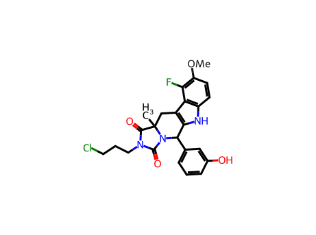 COc1ccc2[nH]c3c(c2c1F)CC1(C)C(=O)N(CCCCl)C(=O)N1C3c1cccc(O)c1